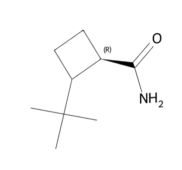 CC(C)(C)C1CC[C@H]1C(N)=O